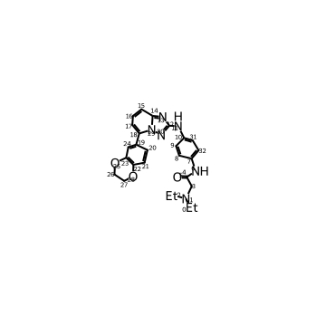 CCN(CC)CC(=O)Nc1ccc(Nc2nc3cccc(-c4ccc5c(c4)OCCO5)n3n2)cc1